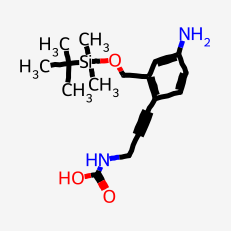 CC(C)(C)[Si](C)(C)OCc1cc(N)ccc1C#CCNC(=O)O